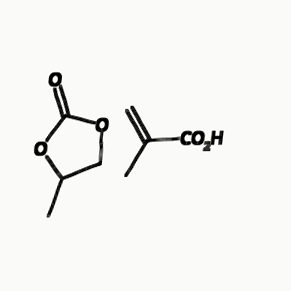 C=C(C)C(=O)O.CC1COC(=O)O1